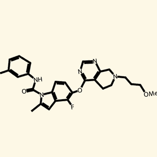 COCCCN1CCc2c(ncnc2Oc2ccc3c(cc(C)n3C(=O)Nc3cccc(C)c3)c2F)C1